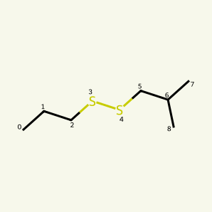 CCCSSCC(C)C